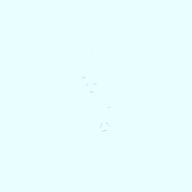 COCCCNC(=O)c1ccc(N2CCN(C(=O)CCc3ccc(F)c(F)c3)CC2)nc1